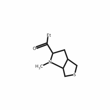 CCC(=O)C1CC2CSCC2N1C